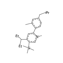 CCC(CC)c1cc(-c2ccc(CC(C)C)cc2C)[n+](C)cc1[Si](C)(C)C